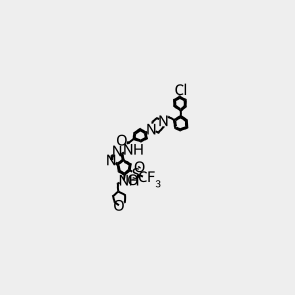 O=C(Nc1ncnc2cc(NCC3CCOCC3)c(S(=O)(=O)C(F)(F)F)cc12)c1ccc(N2CCN(Cc3ccccc3-c3ccc(Cl)cc3)CC2)cc1